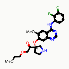 COCCOCC(=O)[C@@]1(Oc2cc3ncnc(Nc4cccc(Cl)c4F)c3cc2OC)CCNC1